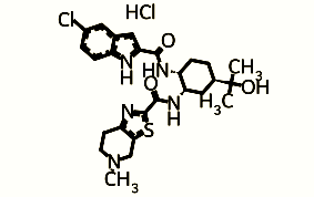 CN1CCc2nc(C(=O)N[C@H]3C[C@H](C(C)(C)O)CC[C@H]3NC(=O)c3cc4cc(Cl)ccc4[nH]3)sc2C1.Cl